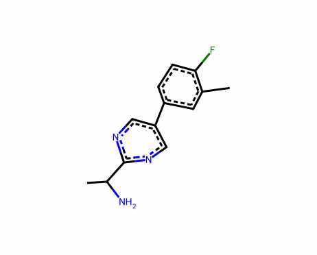 Cc1cc(-c2cnc(C(C)N)nc2)ccc1F